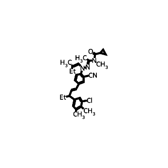 CC/C(C)=C\N(/N=C(\C)N(C)C(=O)C1CC1)c1ccc(/C=C/C(CC)c2cc(C)c(C)c(Cl)c2)cc1C#N